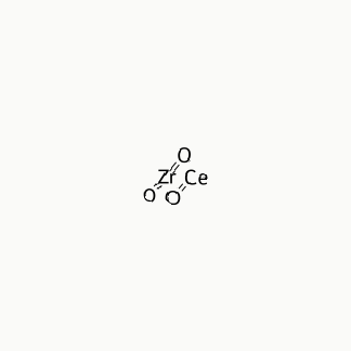 [O]=[Ce].[O]=[Zr]=[O]